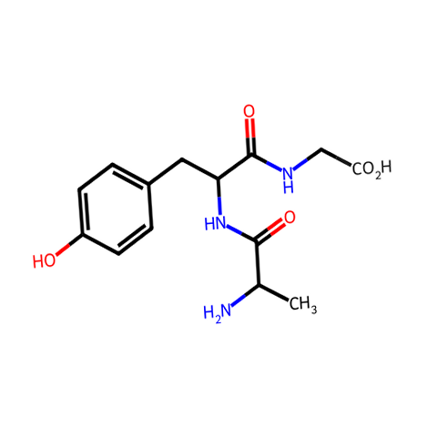 CC(N)C(=O)NC(Cc1ccc(O)cc1)C(=O)NCC(=O)O